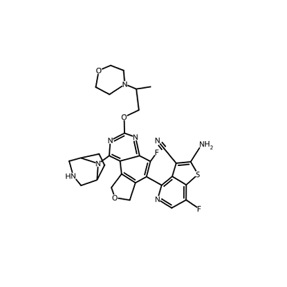 CC(COc1nc(N2C3CCC2CNC3)c2c3c(c(-c4ncc(F)c5sc(N)c(C#N)c45)c(F)c2n1)COC3)N1CCOCC1